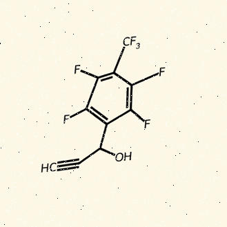 C#CC(O)c1c(F)c(F)c(C(F)(F)F)c(F)c1F